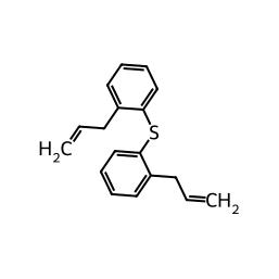 C=CCc1ccccc1Sc1ccccc1CC=C